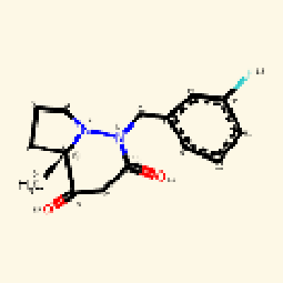 C[C@@]12CCCN1N(Cc1cccc(F)c1)C(=O)CC2=O